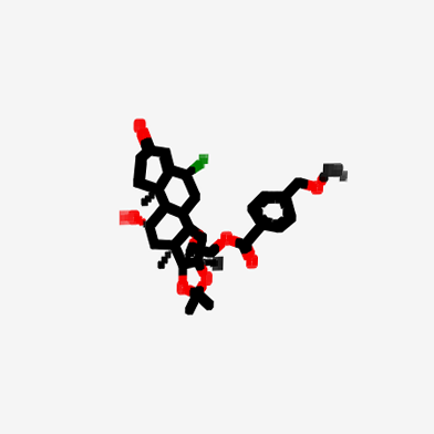 CC1(C)O[C@@H]2CC3C4C[C@H](F)C5=CC(=O)C=C[C@]5(C)C4[C@@H](O)C[C@]3(C)[C@]2(C(=O)COC(=O)c2ccc(CO[N+](=O)[O-])cc2)O1